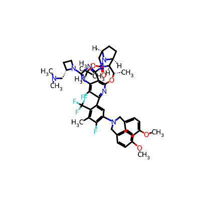 COc1ccc(CN(Cc2ccc(OC)cc2)c2cc(-c3nc4c5c(nc(N6CC[C@H]6CN(C)C)nc5c3F)N3C[C@H]5CC[C@@H]([C@H]3[C@H](C)O4)N5C(=O)OC(C)(C)C)c(C(F)(F)F)c(C)c2F)cc1